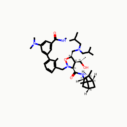 CNC(=O)c1cc(-c2cccc(CN3O[C@@H](CN(CC(C)C)CC(C)C)[C@@H]([C@H](C)O)[C@H]3C(=O)N[C@H]3C[C@H]4C[C@@H]([C@@H]3C)C4(C)C)c2C)cc(N(C)C)c1